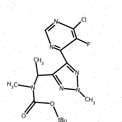 CC(c1nn(C)nc1-c1ncnc(Cl)c1F)N(C)C(=O)OC(C)(C)C